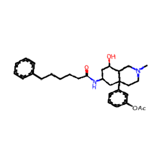 CC(=O)Oc1cccc(C23CCN(C)CC2C(O)CC(NC(=O)CCCCCc2ccccc2)C3)c1